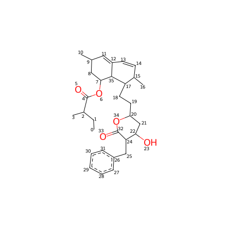 CCC(C)C(=O)OC1CC(C)C=C2C=CC(C)C(CCC3CC(O)C(Cc4ccccc4)C(=O)O3)C21